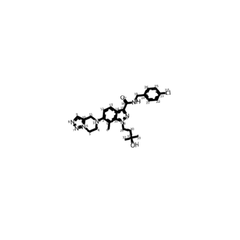 Cc1c(N2CCn3nncc3C2)ccc2c(C(=O)NCc3ccc(Cl)cc3)nn(CCC(C)(C)O)c12